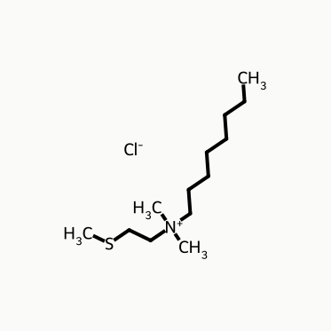 CCCCCCCC[N+](C)(C)CCSC.[Cl-]